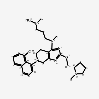 CN(C#N)CCCN(C)c1nc(OC[C@@H]2CCCN2C)nc2c1CCN(c1cccc3cccc(Cl)c13)C2